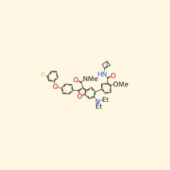 CCN(CC)c1cc2oc(-c3ccc(Oc4cccc(F)c4)cc3)c(C(=O)NC)c2cc1-c1ccc(OC)c(C(=O)NC23CC(C2)C3)c1